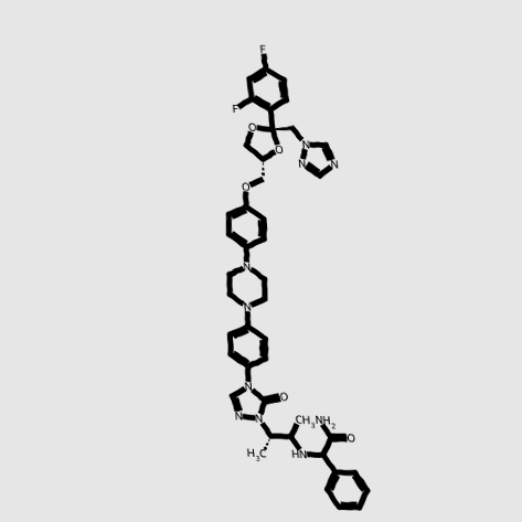 CC(NC(C(N)=O)c1ccccc1)[C@H](C)n1ncn(-c2ccc(N3CCN(c4ccc(OC[C@@H]5CO[C@](Cn6cncn6)(c6ccc(F)cc6F)O5)cc4)CC3)cc2)c1=O